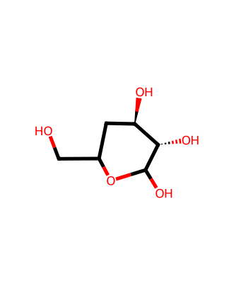 OCC1C[C@@H](O)[C@H](O)C(O)O1